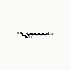 CCCCCCCCCCCCCCCC=Cc1nc(CCO)c[nH]1